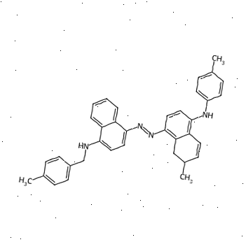 Cc1ccc(CNc2ccc(N=Nc3ccc(Nc4ccc(C)cc4)c4c3CC(C)C=C4)c3ccccc23)cc1